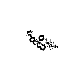 CC(C)(C)C(=O)OC(C)(Nc1cccc(CN(Cc2ccc(-c3nccs3)cc2)S(=O)(=O)c2ccccn2)n1)C(=O)O